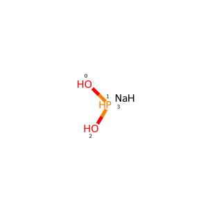 OPO.[NaH]